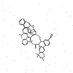 C=C1C[n+]2c(n(-c3c(C(C)C)cc(-c4ccccc4)cc3C(C)C)c3ccccc32)-c2cc3c(cc2CCC2c4cc(C#N)ccc4-c4cc(CC(C)C)c([Si](C)(C)C)c[n+]4C12)oc1ccccc13